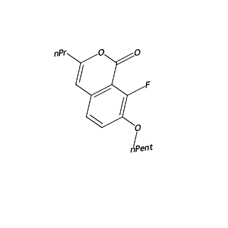 CCCCCOc1ccc2cc(CCC)oc(=O)c2c1F